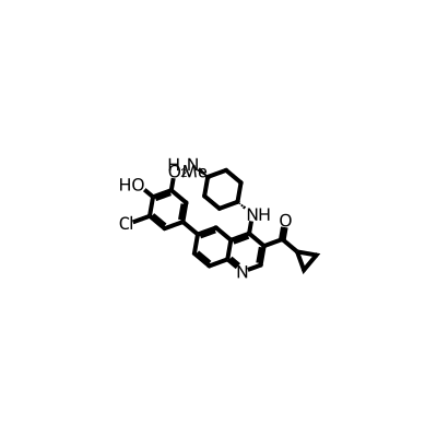 COc1cc(-c2ccc3ncc(C(=O)C4CC4)c(N[C@H]4CC[C@H](N)CC4)c3c2)cc(Cl)c1O